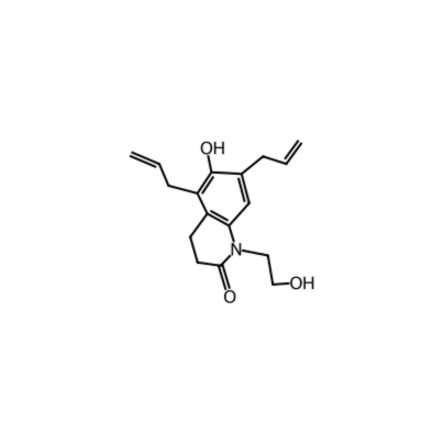 C=CCc1cc2c(c(CC=C)c1O)CCC(=O)N2CCO